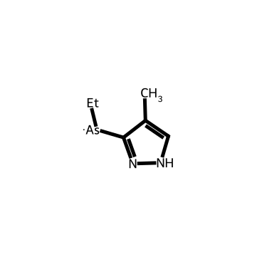 CC[As]c1n[nH]cc1C